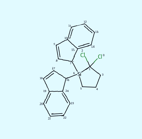 ClC1(Cl)CCC[Si]1([C]1C=Cc2ccccc21)[C]1C=Cc2ccccc21